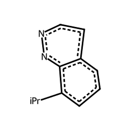 CC(C)c1cccc2ccnnc12